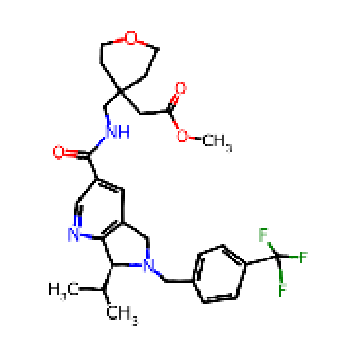 COC(=O)CC1(CNC(=O)c2cnc3c(c2)CN(Cc2ccc(C(F)(F)F)cc2)[C@H]3C(C)C)CCOCC1